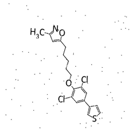 Cc1cc(CCCCCOc2c(Cl)cc(-c3ccsc3)cc2Cl)on1